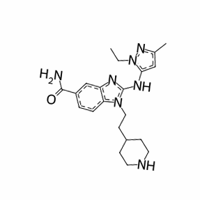 CCn1nc(C)cc1Nc1nc2cc(C(N)=O)ccc2n1CCC1CCNCC1